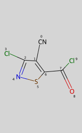 N#Cc1c(Cl)nsc1C(=O)Cl